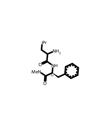 CNC(=O)[C@H](Cc1ccccc1)NC(=O)C(N)CC(C)C